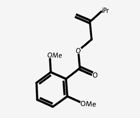 C=C(COC(=O)c1c(OC)cccc1OC)C(C)C